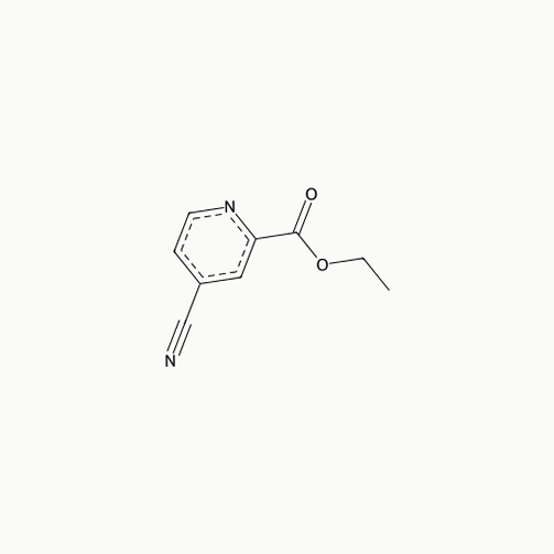 CCOC(=O)c1cc(C#N)ccn1